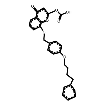 O=C(O)Oc1cc(=O)c2cccc(OCc3ccc(OCCCCc4ccccc4)cc3)c2o1